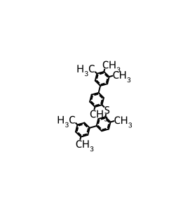 Cc1cc(C)cc(-c2ccc(C)c(Sc3cc(-c4cc(C)c(C)c(C)c4)ccc3C)c2)c1